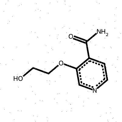 NC(=O)c1ccncc1OCCO